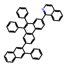 c1ccc(-c2cc3ccccc3cc2-c2ccc3c(c2)c(-c2ccccc2)c(-c2ccccc2)c2cc(-c4nccc5ccccc45)ccc23)cc1